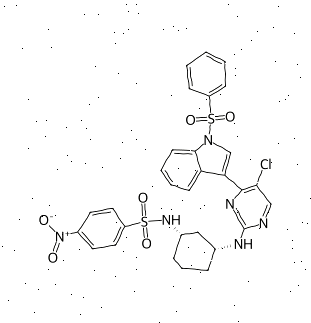 O=[N+]([O-])c1ccc(S(=O)(=O)N[C@H]2CCC[C@@H](Nc3ncc(Cl)c(-c4cn(S(=O)(=O)c5ccccc5)c5ccccc45)n3)C2)cc1